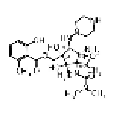 Cc1cccc(O)c1C(=O)OC[C@@]1(O)[C@@H](NN2CCNCC2)[C@H](N)[C@@](NC(=O)N(C)C)([C@H](C)O)[C@@]1(C)O